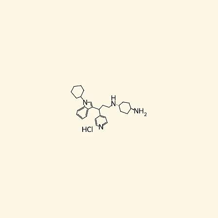 Cl.N[C@H]1CC[C@H](NCCC(c2ccncc2)c2cn(C3CCCCC3)c3ccccc23)CC1